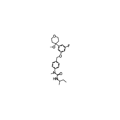 CCC(C)NC(=O)N(C)c1ccc(COc2cc(F)cc(C3(OC)CCOCC3)c2)cc1